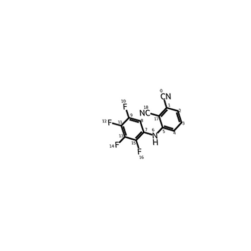 N#Cc1cccc(Nc2cc(F)c(F)c(F)c2F)c1C#N